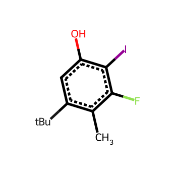 Cc1c(C(C)(C)C)cc(O)c(I)c1F